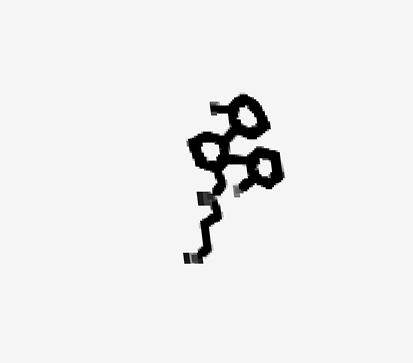 OCCCNCc1cccc(-c2ccccc2F)c1-c1ccccc1F